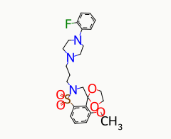 COc1cccc2c1C1(CN(CCCN3CCN(c4ccccc4F)CC3)S2(=O)=O)OCCO1